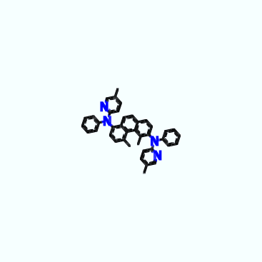 Cc1ccc(N(c2ccccc2)c2ccc3ccc4c(N(c5ccccc5)c5ccc(C)cn5)ccc(C)c4c3c2C)nc1